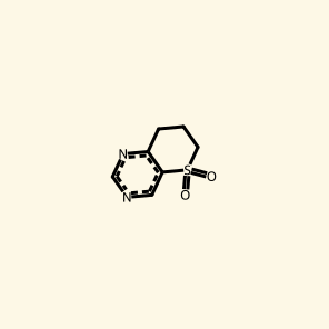 O=S1(=O)CCCc2ncncc21